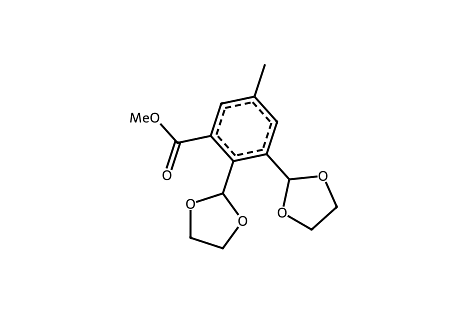 COC(=O)c1cc(C)cc(C2OCCO2)c1C1OCCO1